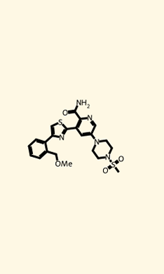 COCc1ccccc1-c1csc(-c2cc(N3CCN(S(C)(=O)=O)CC3)cnc2C(N)=O)n1